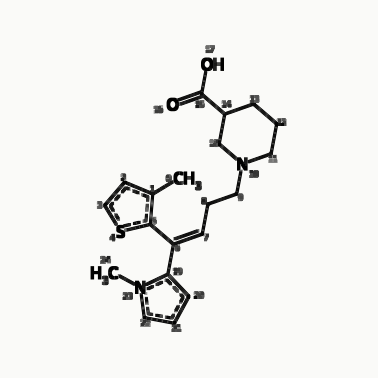 Cc1ccsc1/C(=C\CCN1CCCC(C(=O)O)C1)c1cccn1C